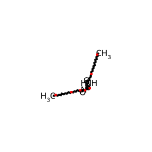 CCCCCCCCCCCCCCCCCCCC(=O)NCc1cccc(CNC(=O)CCCCCCCCCCCCCCCCCCC)c1